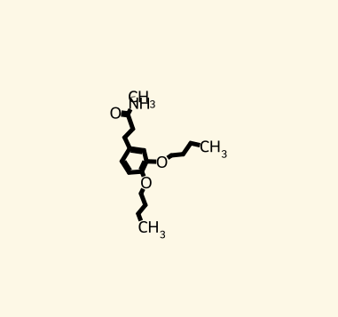 CCCCOc1ccc(CCC(=O)NC)cc1OCCCC